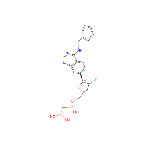 OP(O)CP(O)OCC1CC(F)[C@H](c2ccc3c(NCc4ccccc4)ncnc3c2)O1